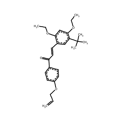 C=CCOc1ccc(C(=O)C=Cc2cc(C(C)(C)C)c(OCC)cc2OCC)cc1